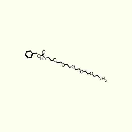 NCCOCCOCCOCCOCCOCCNC(=O)OCc1ccccc1